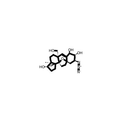 C[C@]12CC[C@@]3(CO)C=C4[C@@H](O)[C@H](O)[C@@H](N=[N+]=[N-])C[C@]45CC[C@]3(O5)[C@@H]1CC[C@@H]2O